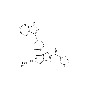 Cl.Cl.Cl.O=C(C1=CC2=CC=C[N@@+]2(N2CCN(c3n[nH]c4ccccc34)CC2)C1)N1CCSC1